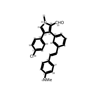 CNc1ccc(C=Cc2cccc(-c3c(-c4ccc(Cl)cc4)cn(C)c3C=O)c2)cc1